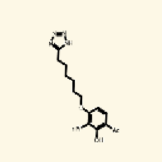 CCCc1c(OCCCCCCc2nnn[nH]2)ccc(C(C)=O)c1O